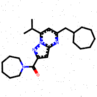 CC(C)c1cc(CC2CCCCCC2)nc2cc(C(=O)N3CCCCCC3)nn12